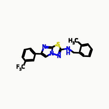 Cc1ccccc1CNc1nn2cc(-c3cccc(C(F)(F)F)c3)nc2s1